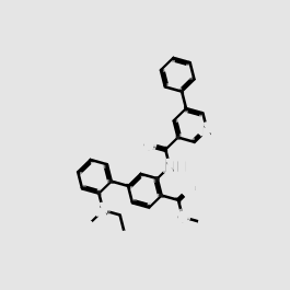 CCN(C)c1ccccc1-c1ccc(C(=O)OC)c(NC(=O)c2cncc(-c3ccccc3)c2)c1